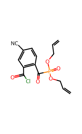 C=CCOP(=O)(OCC=C)C(=O)c1ccc(C#N)cc1C(=O)Cl